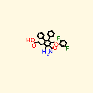 Cc1c(CCC(=O)O)c(-c2ccccc2)c(-c2ccccc2)c(COc2cc(F)ccc2F)c1C(N)=O